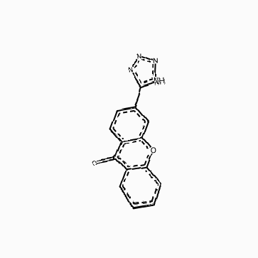 O=c1c2ccccc2oc2cc(-c3nnn[nH]3)ccc12